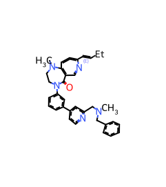 CC/C=C/C1=C=CC2=C(C=N1)C(=O)N(c1cccc(-c3ccnc(CN(C)Cc4ccccc4)c3)c1)CCN2C